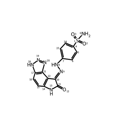 NS(=O)(=O)c1ccc(N/N=C2/C(=O)Nc3ccc4[nH]nnc4c32)cc1